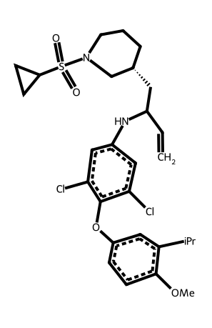 C=CC(C[C@H]1CCCN(S(=O)(=O)C2CC2)C1)Nc1cc(Cl)c(Oc2ccc(OC)c(C(C)C)c2)c(Cl)c1